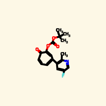 Cc1ncc(F)cc1-c1cccc(=O)c(OC(=O)OC(C)(C)C)c1